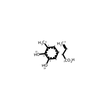 C=CCC(=O)O.Cc1cccc(O)c1O